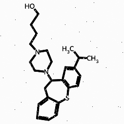 CC(C)c1ccc2c(c1)C(N1CCN(CCCCO)CC1)Cc1ccccc1S2